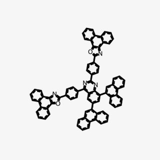 c1ccc2c(c1)cc(-c1cc(-c3cc4ccccc4c4ccccc34)c3nc(-c4ccc(-c5nc6c7ccccc7c7ccccc7c6o5)cc4)nc(-c4ccc(-c5nc6c7ccccc7c7ccccc7c6o5)cc4)c3c1)c1ccccc12